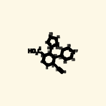 C#Cc1ccc(C(=O)O)c(-n2cncn2)c1-c1ccncc1